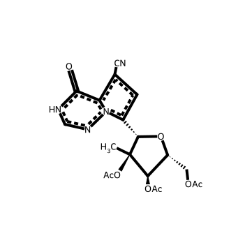 CC(=O)OC[C@H]1O[C@@H](c2cc(C#N)c3c(=O)[nH]cnn23)[C@](C)(OC(C)=O)[C@@H]1OC(C)=O